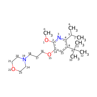 COc1nc(C(C)C)c(C(C)(C)C)cc1OCCCN1CCOCC1